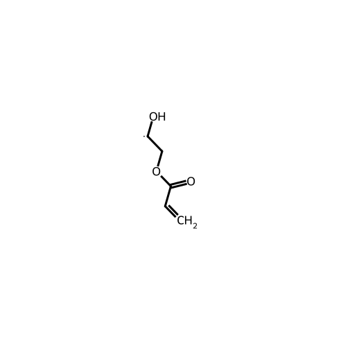 C=CC(=O)OC[CH]O